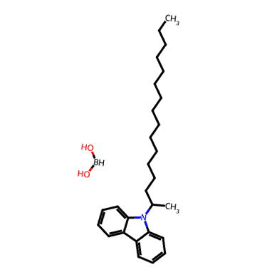 CCCCCCCCCCCCCCC(C)n1c2ccccc2c2ccccc21.OBO